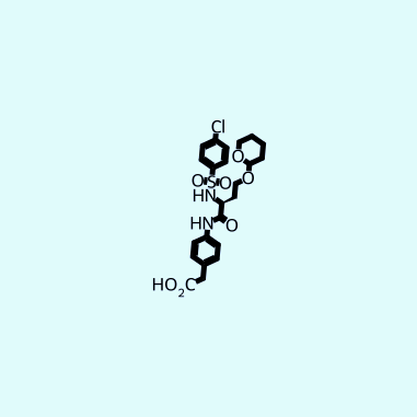 O=C(O)Cc1ccc(NC(=O)[C@H](CCOC2CCCCO2)NS(=O)(=O)c2ccc(Cl)cc2)cc1